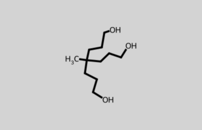 CC(CCCO)(CCCO)CCCO